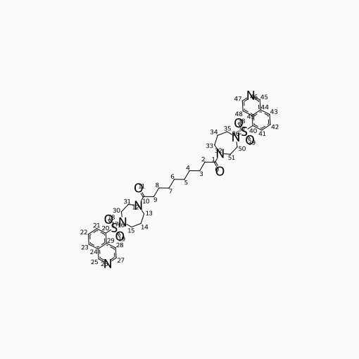 O=C(CCCCCCCCC(=O)N1CCCN(S(=O)(=O)c2cccc3cnccc23)CC1)N1CCCN(S(=O)(=O)c2cccc3cnccc23)CC1